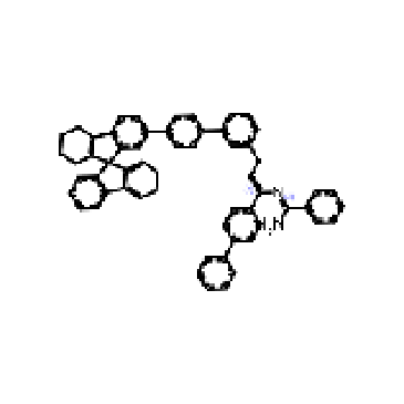 N/C(=N\C(=C/Cc1cccc(-c2ccc(-c3ccc4c(c3)C3(C5=CCCC=C5c5ccccc53)C3=C4CCCC3)cc2)c1)c1ccc(-c2ccccc2)cc1)c1ccccc1